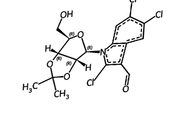 CC1(C)O[C@@H]2[C@H](O1)[C@@H](CO)O[C@H]2n1c(Cl)c(C=O)c2cc(Cl)c(Cl)cc21